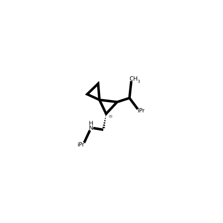 CC(C)NC[C@H]1C(C(C)C(C)C)C12CC2